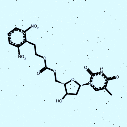 Cc1cn([C@H]2CC(O)[C@@H](COC(=O)OCCc3c([N+](=O)[O-])cccc3[N+](=O)[O-])O2)c(=O)[nH]c1=O